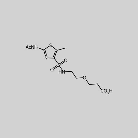 CC(=O)Nc1nc(S(=O)(=O)NCCOCCC(=O)O)c(C)s1